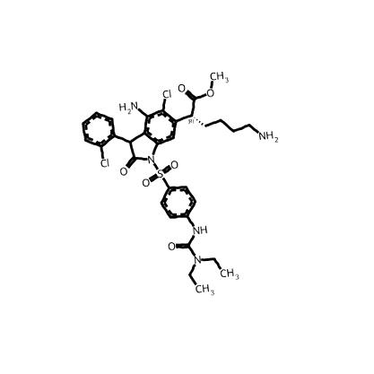 CCN(CC)C(=O)Nc1ccc(S(=O)(=O)N2C(=O)C(c3ccccc3Cl)c3c2cc([C@@H](CCCCN)C(=O)OC)c(Cl)c3N)cc1